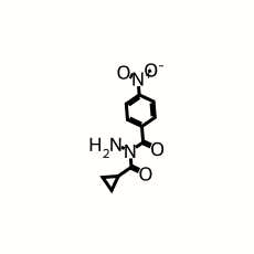 NN(C(=O)c1ccc([N+](=O)[O-])cc1)C(=O)C1CC1